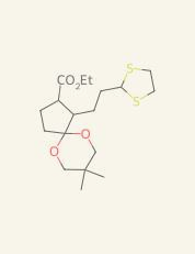 CCOC(=O)C1CCC2(OCC(C)(C)CO2)C1CCC1SCCS1